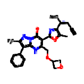 C#C/C=C(/OC)c1nc(-c2c(COC3COC3)[nH]c3c(-c4ccccc4)c(C(F)(F)F)nn3c2=O)oc1C